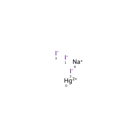 [Hg+2].[I-].[I-].[I-].[Na+]